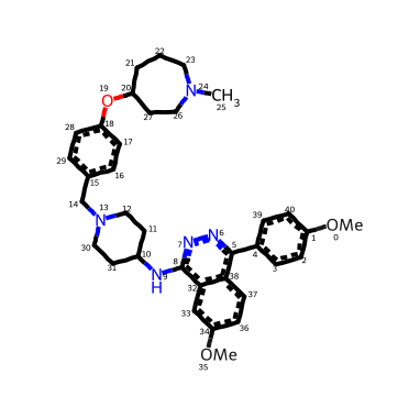 COc1ccc(-c2nnc(NC3CCN(Cc4ccc(OC5CCCN(C)CC5)cc4)CC3)c3cc(OC)ccc23)cc1